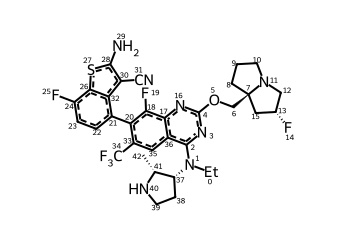 CCN(c1nc(OC[C@@]23CCCN2C[C@H](F)C3)nc2c(F)c(-c3ccc(F)c4sc(N)c(C#N)c34)c(C(F)(F)F)cc12)[C@@H]1CCN[C@@H]1C